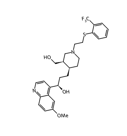 COc1ccc2nccc([C@H](O)CC[C@@H]3CCN(CCSc4ccccc4C(F)(F)F)C[C@@H]3CO)c2c1